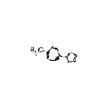 Cc1ccc(C2CC[N]C2)cc1